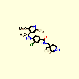 CCOC(=O)CC1(CNC(=O)c2ccc(N[C@@H](C)c3cc(C(F)(F)F)ncc3OC)c(Cl)c2)CCNCC1